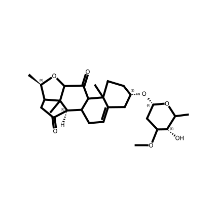 COC1C[C@H](O[C@H]2CCC3(C)C(=CCC4C3C(=O)C3O[C@H](C)C5CC(=O)[C@H]4C35C)C2)OC(C)[C@@H]1O